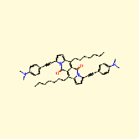 CCCCCCCc1c2c(=O)n3c(C#Cc4ccc(N(C)C)cc4)ccc3c(CCCCCCC)c2c(=O)n2c(C#Cc3ccc(N(C)C)cc3)ccc12